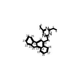 CCc1nc(CC)nc(Cc2cc3c(c4ccccc24)Cc2ccccc2-3)n1